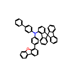 c1ccc(-c2ccc(N(c3ccc(-c4cccc5c4oc4ccccc45)cc3)c3cccc4c3-c3ccccc3C43c4ccccc4-c4ccccc43)cc2)cc1